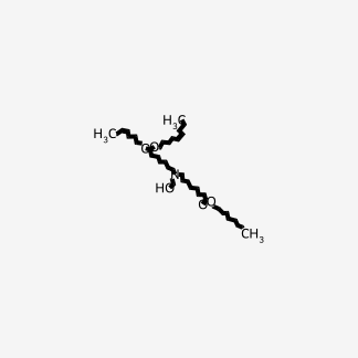 CC/C=C\CCCCOC(CCCCCCN(CCO)CCCCCCCC(=O)OCCCCCCCCC)OCCCC/C=C\CCC